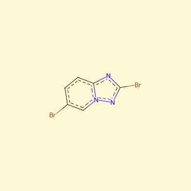 Brc1ccc2nc(Br)nn2c1